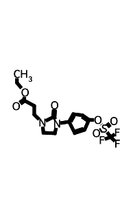 CCOC(=O)CCN1CCN(c2ccc(OS(=O)(=O)C(F)(F)F)cc2)C1=O